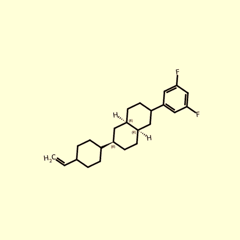 C=CC1CCC([C@@H]2CC[C@@H]3CC(c4cc(F)cc(F)c4)CC[C@@H]3C2)CC1